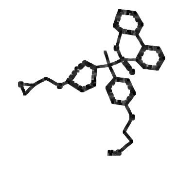 COCCOc1ccc(C(C)(c2ccc(OCC3CO3)cc2)P2(=O)Oc3ccccc3-c3ccccc32)cc1